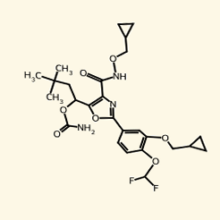 CC(C)(C)CC(OC(N)=O)c1oc(-c2ccc(OC(F)F)c(OCC3CC3)c2)nc1C(=O)NOCC1CC1